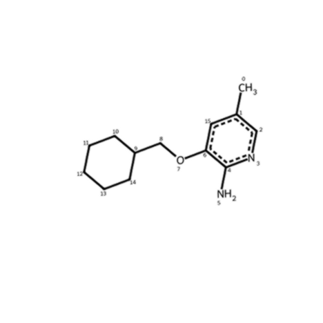 Cc1cnc(N)c(OCC2CCCCC2)c1